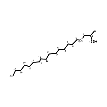 [CH2]C(O)CSCCCCCCCCCCCCCCCC